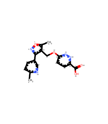 Cc1ccc(-c2noc(C)c2COc2ccc(C(=O)O)nn2)cn1